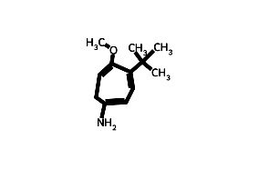 COC1=CCC(N)=CC=C1C(C)(C)C